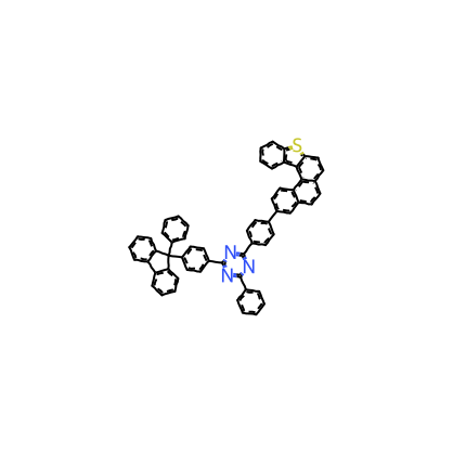 c1ccc(-c2nc(-c3ccc(-c4ccc5c(ccc6ccc7sc8ccccc8c7c65)c4)cc3)nc(-c3ccc(C4(c5ccccc5)c5ccccc5-c5ccccc54)cc3)n2)cc1